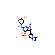 BC(B)(B)Oc1nc(N[C@H]2CC[C@](C)(O)CC2)nc2[nH]cc(-c3ccc4ncc(F)n4c3)c12